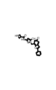 Cc1cc(NC(=O)C2CNC2)nn1Cc1cc(Cl)cc2cc(-c3ccccc3)oc12